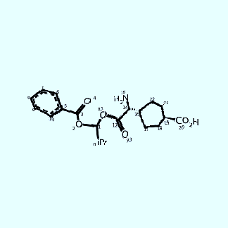 CC(C)C(OC(=O)c1ccccc1)OC(=O)C(N)[C@H]1CC[C@H](C(=O)O)CC1